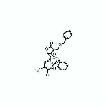 C=C1OC2C(OCc3ccccc3)[C@@]1(COCc1ccccc1)O[C@H]2n1cc(C)c(=O)[nH]c1=O